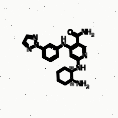 NC(=O)c1cnc(N[C@@H]2CCCC[C@@H]2N)cc1Nc1cccc(-n2nccn2)c1